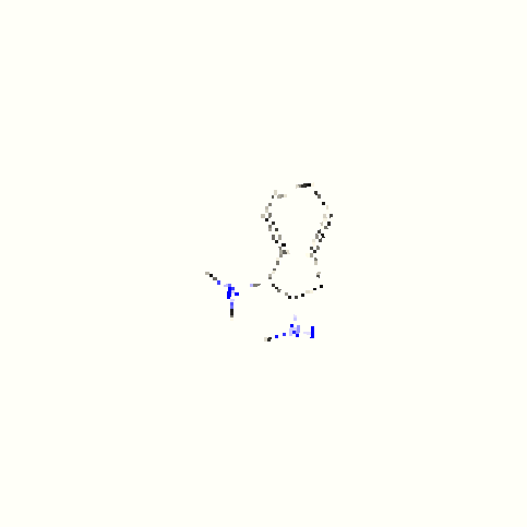 CN[C@H]1Cc2ccccc2[C@H]1N(C)C